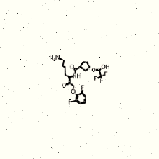 NCCCCC(NC(=O)C1CCCC1)C(=O)COc1c(F)cccc1F.O=C(O)C(F)(F)F